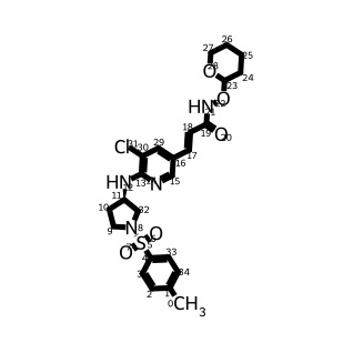 Cc1ccc(S(=O)(=O)N2CC[C@@H](Nc3ncc(/C=C/C(=O)NOC4CCCCO4)cc3Cl)C2)cc1